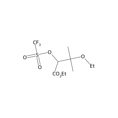 CCOC(=O)C(OS(=O)(=O)C(F)(F)F)C(C)(C)OCC